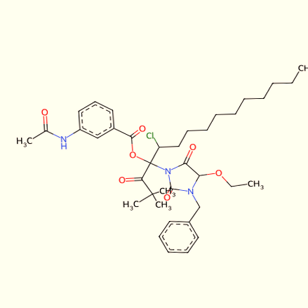 CCCCCCCCCCC(Cl)C(OC(=O)c1cccc(NC(C)=O)c1)(C(=O)C(C)(C)C)N1C(=O)C(OCC)N(Cc2ccccc2)C1=O